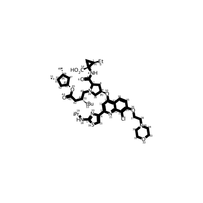 CC[C@@H]1C[C@]1(NC(=O)C1C[C@@H](Oc2cc(-c3csc(NC(C)C)n3)nc3c(Cl)c(OCCN4CCOCC4)ccc23)CN1C[C@@H](CC(=O)O[C@H]1C[C@@H](C)[C@@H](C)C1)C(C)(C)C)C(=O)O